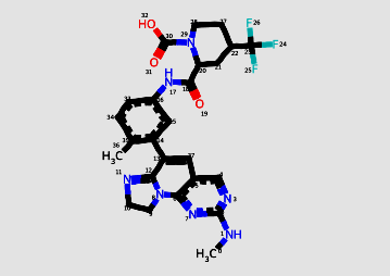 CNc1ncc2c(n1)N1CCN=C1C(c1cc(NC(=O)C3CC(C(F)(F)F)CCN3C(=O)O)ccc1C)=C2